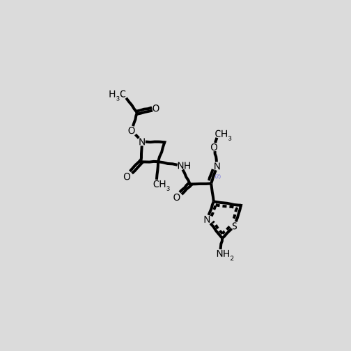 CO/N=C(\C(=O)NC1(C)CN(OC(C)=O)C1=O)c1csc(N)n1